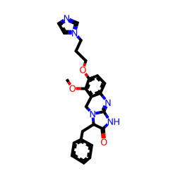 COc1c(OCCCn2ccnc2)ccc2c1CN1C(=N2)NC(=O)C1Cc1ccccc1